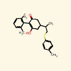 Cc1ccc(SCC(C)C2CC(=O)C(c3c(C)cccc3C)=C(O)C2)cc1